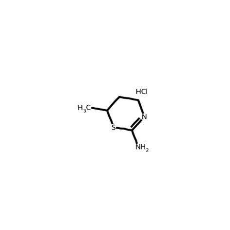 CC1CCN=C(N)S1.Cl